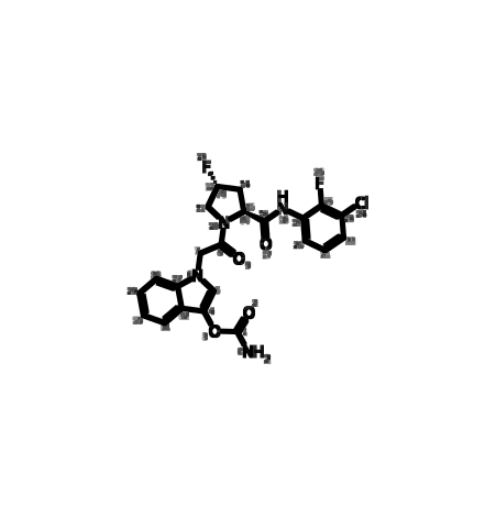 NC(=O)Oc1cn(CC(=O)N2C[C@H](F)C[C@H]2C(=O)Nc2cccc(Cl)c2F)c2ccccc12